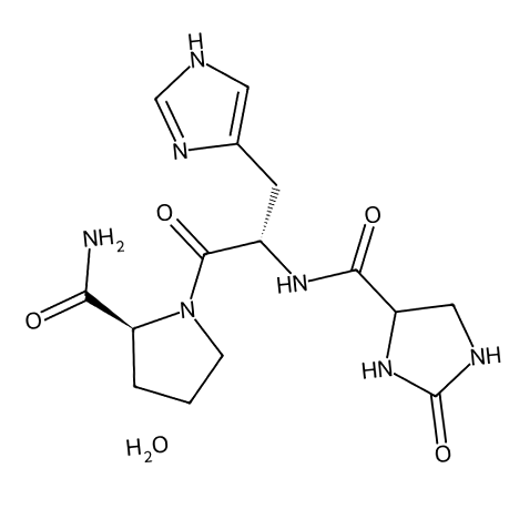 NC(=O)[C@@H]1CCCN1C(=O)[C@H](Cc1c[nH]cn1)NC(=O)C1CNC(=O)N1.O